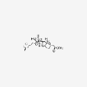 C=C(I)C[C@H](Cl)CC[C@]12O[C@@H]3C4O[C@@](O)(C1O)[C@@H](O2)C4OC1CC[C@H](CC(=O)OC)O[C@@H]13